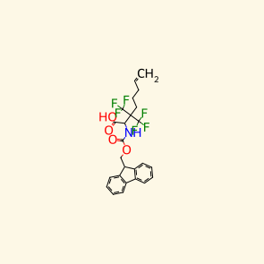 C=CCCCC(C(NC(=O)OCC1c2ccccc2-c2ccccc21)C(=O)O)(C(F)(F)F)C(F)(F)F